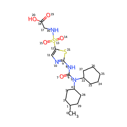 CC1CCC(N(C(=O)Nc2ncc(S(=O)(=O)NCC(=O)O)s2)C2CCCCC2)CC1